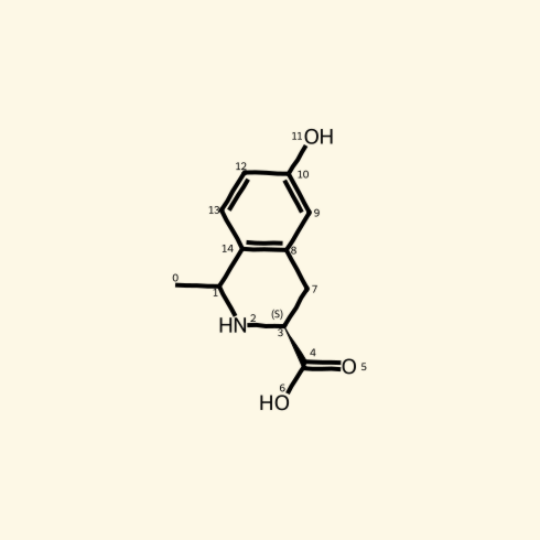 CC1N[C@H](C(=O)O)Cc2cc(O)ccc21